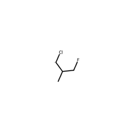 CC([CH]Cl)CF